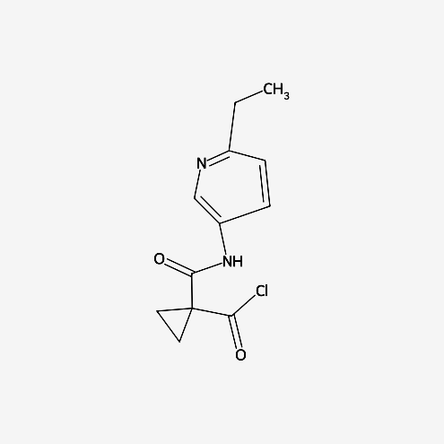 CCc1ccc(NC(=O)C2(C(=O)Cl)CC2)cn1